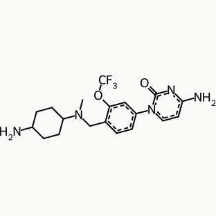 CN(Cc1ccc(-n2ccc(N)nc2=O)cc1OC(F)(F)F)C1CCC(N)CC1